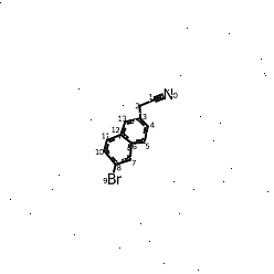 N#CCc1ccc2cc(Br)[c]cc2c1